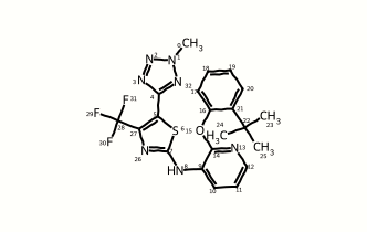 Cn1nnc(-c2sc(Nc3cccnc3Oc3ccccc3C(C)(C)C)nc2C(F)(F)F)n1